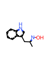 CC(Cc1c[nH]c2ccccc12)=NO